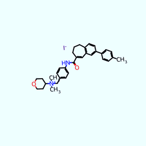 Cc1ccc(-c2ccc3c(c2)C=C(C(=O)Nc2ccc(C[N+](C)(C)C4CCOCC4)cc2)CCC3)cc1.[I-]